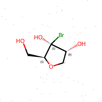 OC[C@@H]1O[CH][C@@H](O)[C@]1(O)Br